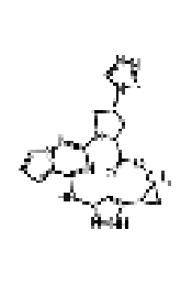 COC(=O)[C@@H]1C[C@H](n2cnnn2)CN1c1nc(Nc2cc(C3CC3)[nH]n2)c2cccn2n1